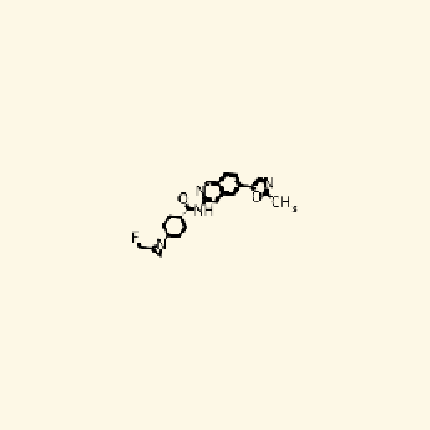 Cc1ncc(-c2ccc3cnc(NC(=O)[C@H]4CC[C@H](N5CC5CF)CC4)cc3c2)o1